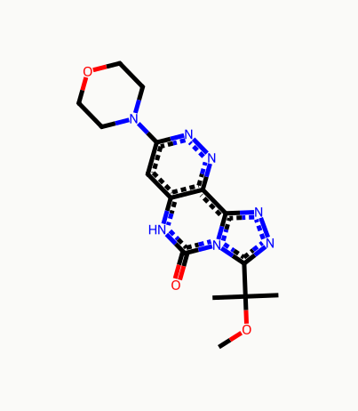 COC(C)(C)c1nnc2c3nnc(N4CCOCC4)cc3[nH]c(=O)n12